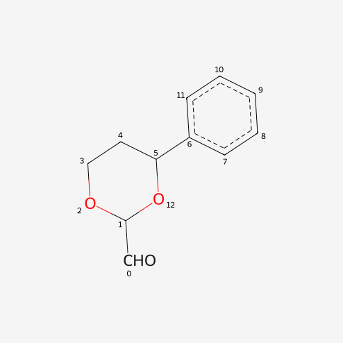 O=CC1OCCC(c2ccccc2)O1